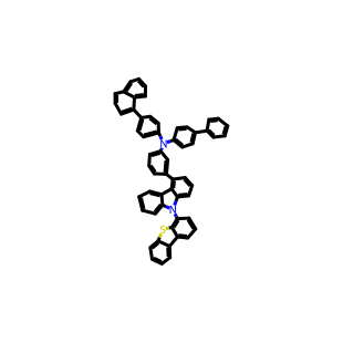 c1ccc(-c2ccc(N(c3ccc(-c4cccc5ccccc45)cc3)c3cccc(-c4cccc5c4c4ccccc4n5-c4cccc5c4sc4ccccc45)c3)cc2)cc1